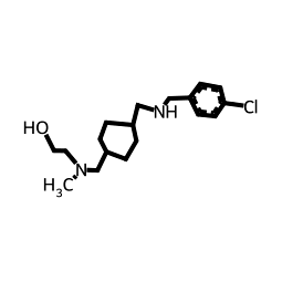 CN(CCO)CC1CCC(CNCc2ccc(Cl)cc2)CC1